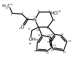 CCCC(=O)N1CCCC(c2ccccc2)C1(CO)c1ccccc1.Cl